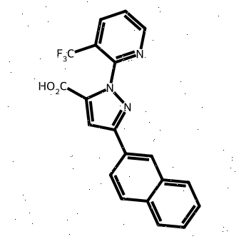 O=C(O)c1cc(-c2ccc3ccccc3c2)nn1-c1ncccc1C(F)(F)F